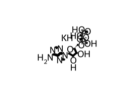 Nc1ncnc2c1ncn2[C@@H]1O[C@H](COP(=O)(O)OP(=O)(O)O)C(O)C1O.[KH]